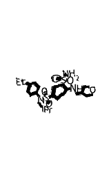 CCc1ccc(N(CC(C)C)S(=O)(=O)c2ccc(NCC3CCOCC3)c(S(N)(=O)=O)c2)cc1